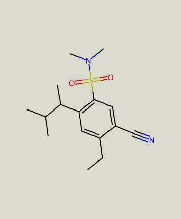 CCc1cc(C(C)C(C)C)c(S(=O)(=O)N(C)C)cc1C#N